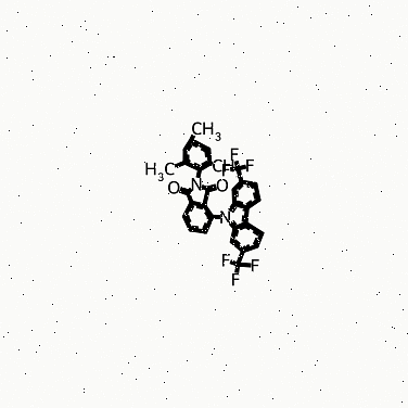 Cc1cc(C)c(N2C(=O)c3cccc(-n4c5cc(C(F)(F)F)ccc5c5ccc(C(F)(F)F)cc54)c3C2=O)c(C)c1